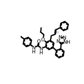 CCCOc1c(C/C=C/c2ccccc2)cc(-c2ccccc2-c2nnn[nH]2)cc1NC(=O)Nc1ccc(C)cc1